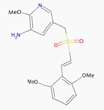 COc1cccc(OC)c1/C=C/S(=O)(=O)Cc1cnc(OC)c(N)c1